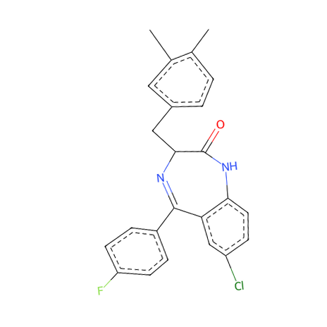 Cc1ccc(CC2N=C(c3ccc(F)cc3)c3cc(Cl)ccc3NC2=O)cc1C